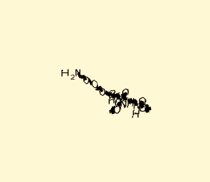 CC(C)(C)OC(=O)NCCC[C@H](NC(=O)OC(C)(C)C)C(=O)NCCOCCOCCOCCOCCN